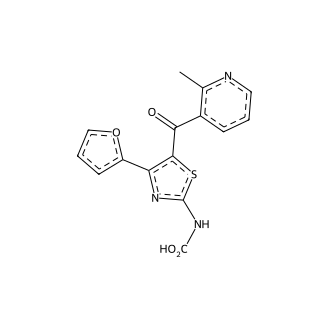 Cc1ncccc1C(=O)c1sc(NC(=O)O)nc1-c1ccco1